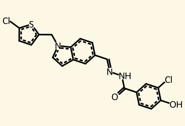 O=C(NN=Cc1ccc2c(ccn2Cc2ccc(Cl)s2)c1)c1ccc(O)c(Cl)c1